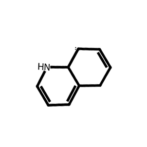 [C]1C=CCC2=CC=CNC12